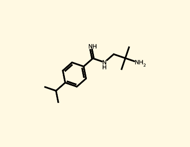 CC(C)c1ccc(C(=N)NCC(C)(C)N)cc1